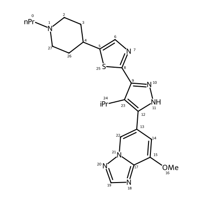 CCCN1CCC(c2cnc(-c3n[nH]c(-c4cc(OC)c5ncnn5c4)c3C(C)C)s2)CC1